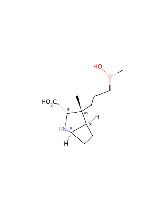 CB(O)CCC[C@@]1(C)[C@@H](C(=O)O)N[C@@H]2CC[C@@H]21